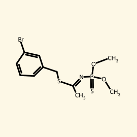 COP(=S)(N=C(C)SCc1cccc(Br)c1)OC